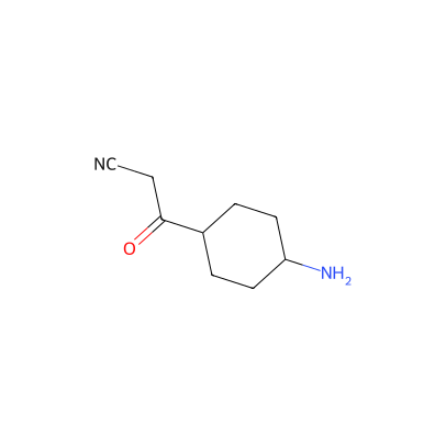 N#CCC(=O)C1CCC(N)CC1